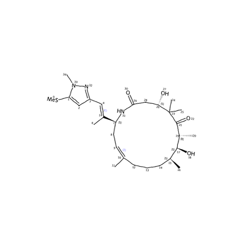 CSc1cc(/C=C(\C)[C@@H]2C/C=C(/C)CCC[C@H](C)[C@H](O)[C@@H](C)C(=O)C(C)(C)[C@@H](O)CC(=O)N2)nn1C